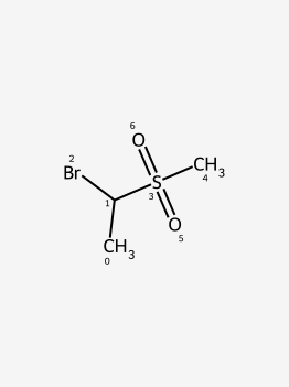 CC(Br)S(C)(=O)=O